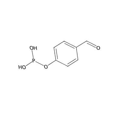 O=Cc1ccc(OP(O)O)cc1